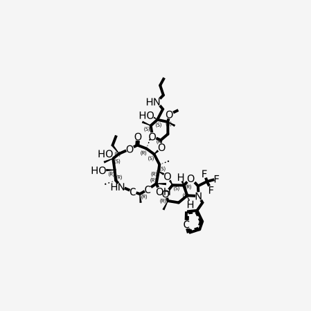 CCCNC[C@]1(O)[C@H](C)O[C@@H](O[C@H]2[C@H](C)[C@@H](O[C@@H]3O[C@H](C)C[C@H]4[C@H]3OC(C(F)(F)F)N4Cc3ccccc3)[C@](C)(O)C[C@@H](C)CN[C@H](C)[C@@H](O)[C@](C)(O)[C@@H](CC)OC(=O)[C@@H]2C)C[C@@]1(C)OC